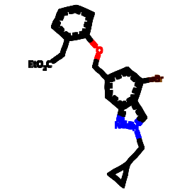 CCOC(=O)Cc1ccccc1OCc1cc(Br)c2cn(CC3CC3)nc2c1